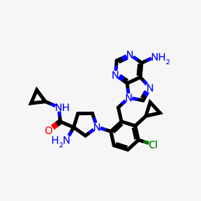 Nc1ncnc2c1ncn2Cc1c(N2CCC(N)(C(=O)NC3CC3)C2)ccc(Cl)c1C1CC1